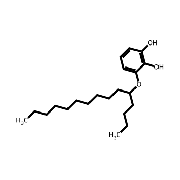 CCCCCCCCCCC(CCCC)Oc1cccc(O)c1O